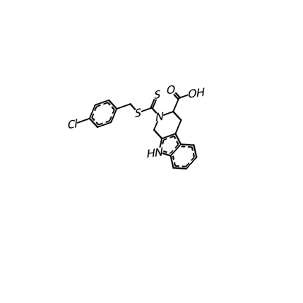 O=C(O)C1Cc2c([nH]c3ccccc23)CN1C(=S)SCc1ccc(Cl)cc1